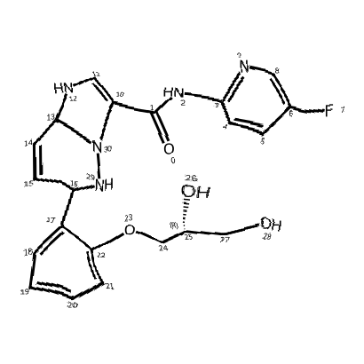 O=C(Nc1ccc(F)cn1)C1=CNC2C=CC(c3ccccc3OC[C@H](O)CO)NN12